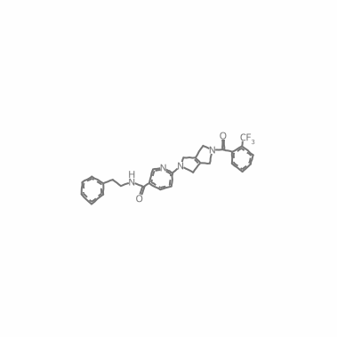 O=C(NCCc1ccccc1)c1ccc(N2CC3=C(CN(C(=O)c4ccccc4C(F)(F)F)C3)C2)nc1